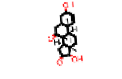 C[C@]12C=CC(O)CC1CC(=O)[C@@H]1[C@H]2CC[C@]2(C)C(O)C(=O)C[C@@H]12